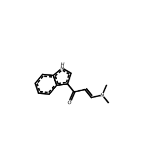 CN(C)C=CC(=O)c1c[nH]c2ccccc12